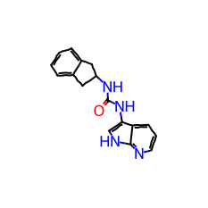 O=C(Nc1c[nH]c2ncccc12)NC1Cc2ccccc2C1